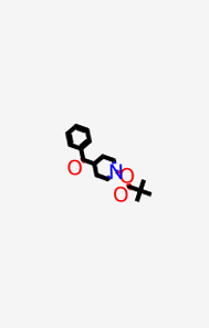 CC(C)(C)C(=O)ON1CCC(C(=O)c2ccccc2)CC1